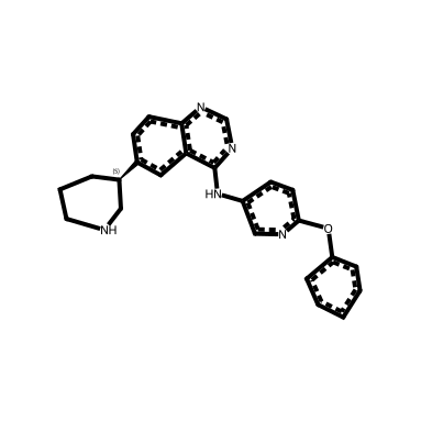 c1ccc(Oc2ccc(Nc3ncnc4ccc([C@@H]5CCCNC5)cc34)cn2)cc1